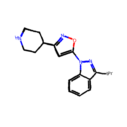 CC(C)c1nn(-c2cc(C3CCNCC3)no2)c2ccccc12